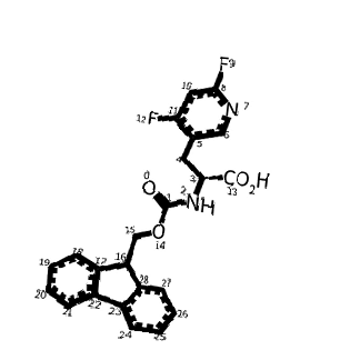 O=C(N[C@@H](Cc1cnc(F)cc1F)C(=O)O)OCC1c2ccccc2-c2ccccc21